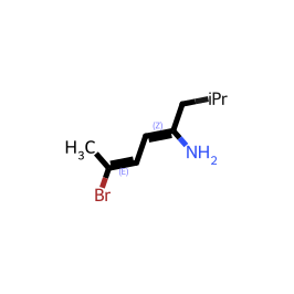 C/C(Br)=C\C=C(/N)CC(C)C